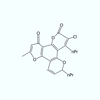 CCCc1c(Cl)c(=O)oc2c1c1c(c3oc(C)cc(=O)c32)[C]=CC(CCC)O1